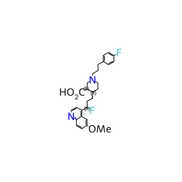 COc1ccc2nccc([C@H](F)CC[C@@H]3CCN(CCCc4ccc(F)cc4)C[C@@H]3C(=O)O)c2c1